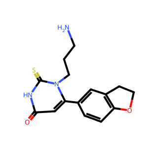 NCCCn1c(-c2ccc3c(c2)CCO3)cc(=O)[nH]c1=S